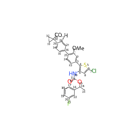 COc1cc(-c2sc(Cl)cc2NC(=O)OC(C)c2cccc(F)c2)ccc1-c1ccc(C2(C(=O)O)CC2)cc1